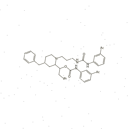 CC(=O)c1cccc(NC(=O)NCCCN2CCC(Cc3ccccc3)CC2C(CC(C)C)OC(=O)Nc2cccc(C(C)=O)c2)c1